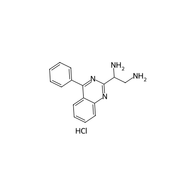 Cl.NCC(N)c1nc(-c2ccccc2)c2ccccc2n1